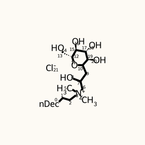 CCCCCCCCCCCC[N+](C)(C)CC(O)CC1O[C@H](CO)[C@@H](O)[C@H](O)[C@H]1O.[Cl-]